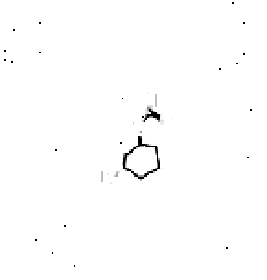 O=C(NC1CCC[C@H](O)C1)C(F)(F)F